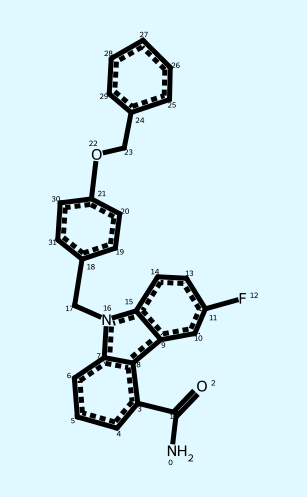 NC(=O)c1cccc2c1c1[c]c(F)ccc1n2Cc1ccc(OCc2ccccc2)cc1